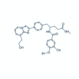 CC(C)Oc1ccc(C(=O)NC(CCC(N)=O)Cc2ccc(-c3cn4cccc(CCO)c4n3)cc2)cc1C#N